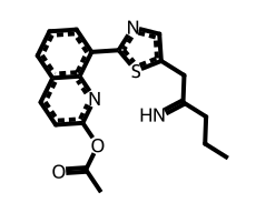 CCCC(=N)Cc1cnc(-c2cccc3ccc(OC(C)=O)nc23)s1